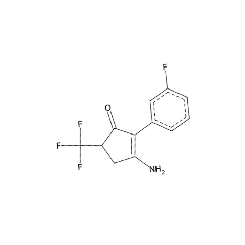 NC1=C(c2cccc(F)c2)C(=O)C(C(F)(F)F)C1